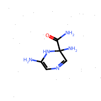 NC(=O)C1(N)C=NC=C(N)N1